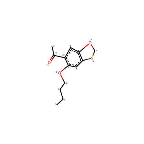 CCCCOc1cc2c(cc1C(C)=O)OCS2